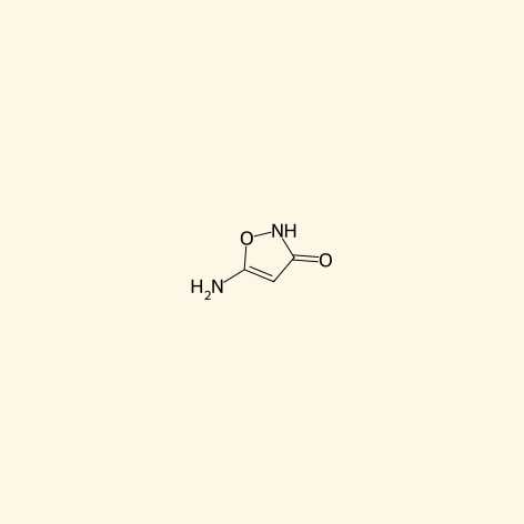 Nc1cc(=O)[nH]o1